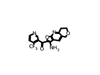 Nc1c(C(=O)c2cnccc2C(F)(F)F)oc2nc3c(cc12)COCC3